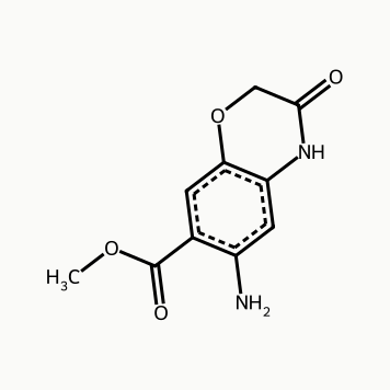 COC(=O)c1cc2c(cc1N)NC(=O)CO2